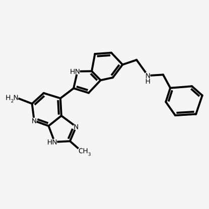 Cc1nc2c(-c3cc4cc(CNCc5ccccc5)ccc4[nH]3)cc(N)nc2[nH]1